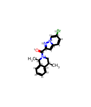 C[C@@H]1CN(C(=O)c2cc3ccc(Br)cn3n2)[C@H](C)c2ccccc21